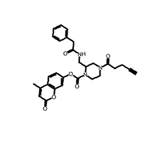 C#CCCC(=O)N1CCN(C(=O)Oc2ccc3c(C)cc(=O)oc3c2)C(CNC(=O)Cc2ccccc2)C1